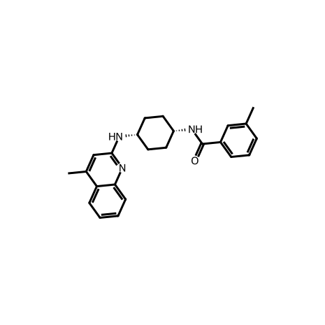 Cc1cccc(C(=O)N[C@H]2CC[C@@H](Nc3cc(C)c4ccccc4n3)CC2)c1